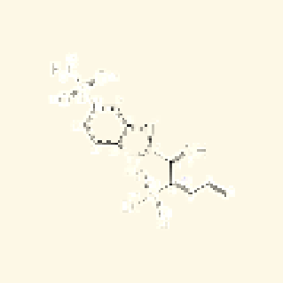 C=C/C=C(\C(=N)c1nc2cc(S(=O)(=O)C(F)(F)F)ccc2o1)S(=O)(=O)CC